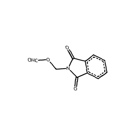 O=COCN1C(=O)c2ccccc2C1=O